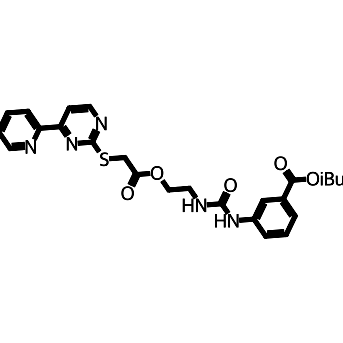 CC(C)COC(=O)c1cccc(NC(=O)NCCOC(=O)CSc2nccc(-c3ccccn3)n2)c1